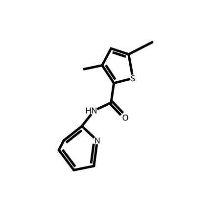 Cc1cc(C)c(C(=O)Nc2ccccn2)s1